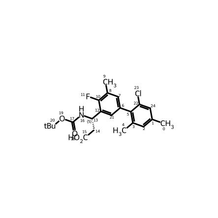 Cc1cc(C)c(-c2cc(C)c(F)c([C@H](CC(=O)O)NC(=O)OC(C)(C)C)c2)c(Cl)c1